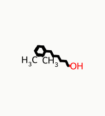 Cc1cccc(CCCCCCO)c1C